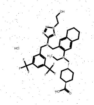 CCN(C[C@H]1CC[C@H](C(=O)O)CC1)c1cc2c(cc1CN(Cc1cc(C(F)(F)F)cc(C(F)(F)F)c1)c1nnn(CCO)n1)CCCC2.Cl